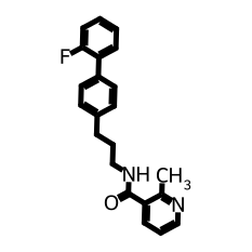 Cc1ncccc1C(=O)NCCCc1ccc(-c2ccccc2F)cc1